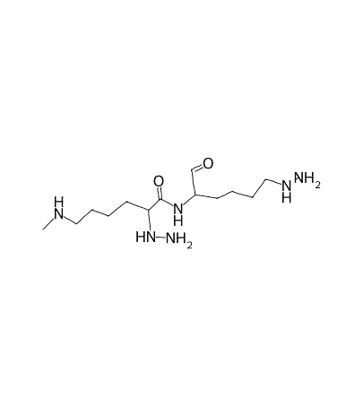 CNCCCCC(NN)C(=O)NC(C=O)CCCCNN